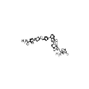 C[Si](C)(C)CCOCN1C(=O)CCC(N2Cc3c(cccc3-c3ccc(COC4CCN(c5ccc(C(N)=O)cn5)CC4)cc3)C2=O)C1=O